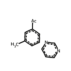 CC(=O)c1cccc(C)c1.c1cncnc1